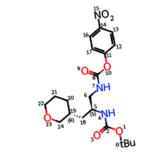 CC(C)(C)OC(=O)N[C@H](CNC(=O)Oc1ccc([N+](=O)[O-])cc1)C[C@H]1CCCOC1